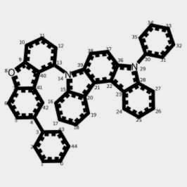 c1ccc(-c2ccc3oc4cccc(-n5c6ccccc6c6c7c8ccccc8n(-c8ccccc8)c7ccc65)c4c3c2)cc1